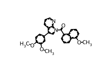 COc1ccc(-c2cn(C(=O)c3cccc4c(OC)cccc34)c3ncccc23)cc1OC